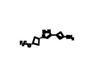 NC12CC(c3cn([C@H]4C[C@@H](OC(F)(F)F)C4)nn3)(C1)C2